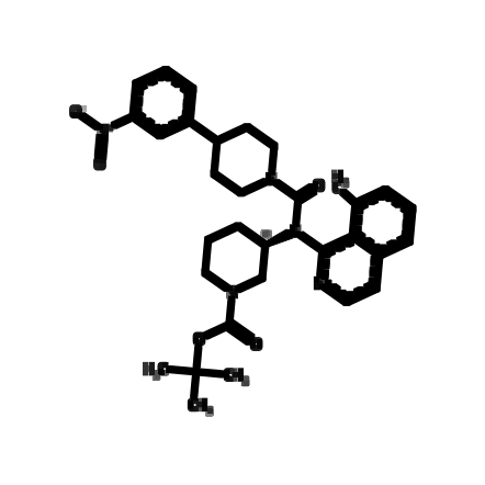 Cc1cccc2ccnc(N(C(=O)N3CCC(c4cccc([N+](=O)[O-])c4)CC3)[C@@H]3CCCN(C(=O)OC(C)(C)C)C3)c12